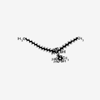 CCCCCCCCCCCCCCCCCCCCCCCC(=O)N[C@@H](COC1OC(C)[C@@H](O)[C@H](O)C1O)[C@H](O)[C@H](O)CCCCCCCCCCCCCC